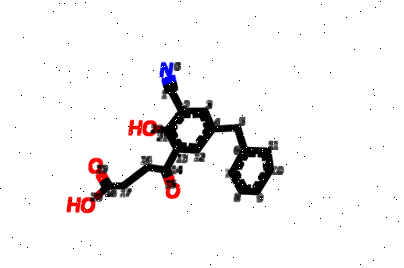 N#Cc1cc(Cc2ccccc2)cc(C(=O)CCC(=O)O)c1O